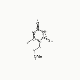 COCCn1c(I)cc(=O)[nH]c1=S